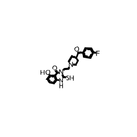 O=C(c1ccc(F)cc1)C1CCN(CCN2C(=O)c3c(O)cccc3NC2S)CC1